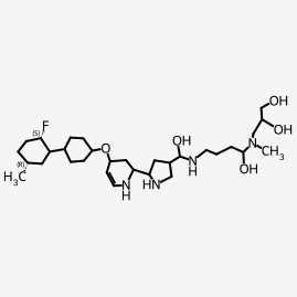 C[C@@H]1CC[C@H](F)C(C2CCC(OC3C=CNC(C4CC(C(O)NCCCC(O)N(C)CC(O)CO)CN4)C3)CC2)C1